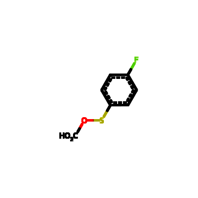 O=C(O)OSc1ccc(F)cc1